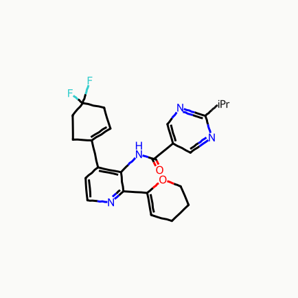 CC(C)c1ncc(C(=O)Nc2c(C3=CCC(F)(F)CC3)ccnc2C2=CCCCO2)cn1